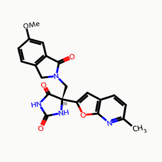 COc1ccc2c(c1)C(=O)N(C[C@@]1(c3cc4ccc(C)nc4o3)NC(=O)NC1=O)C2